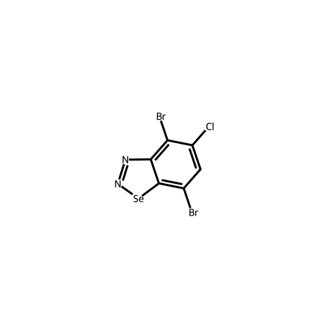 Clc1cc(Br)c2[se]nnc2c1Br